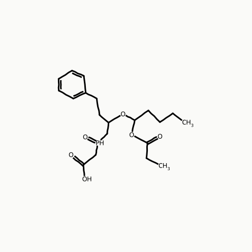 CCCCC(OC(=O)CC)OC(CCc1ccccc1)C[PH](=O)CC(=O)O